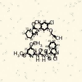 C#CCOc1cc(-n2nc3n(c2=O)CCCC3)c(Cl)cc1Cl.COc1cc(OC)nc(NC(=O)NS(=O)(=O)c2c(Cl)nc3ccccn23)n1